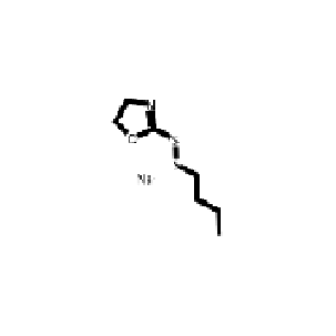 CCCCSSC1=NCCO1.[Na]